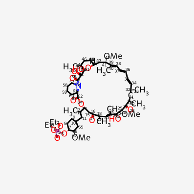 CCOP(=O)(OCC)O[C@@H]1CCC(C[C@@H](C)C2CC(=O)[C@H](C)/C=C(\C)[C@@H](O)[C@@H](OC)C(=O)[C@H](C)C[C@H](C)/C=C/C=C/C=C(\C)[C@@H](OC)C[C@@H]3CC[C@@H](C)[C@@](O)(O3)C(=O)C(=O)N3CCCCC3C(=O)O2)C[C@H]1OC